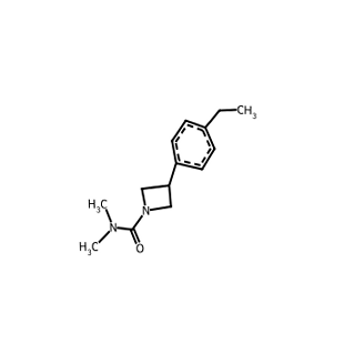 CCc1ccc(C2CN(C(=O)N(C)C)C2)cc1